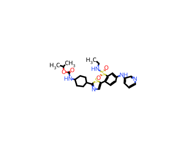 CCNS(=O)(=O)c1cc(Nc2cccnc2)ccc1-c1cnc(C2CCC(NC(=O)OC(C)C)CC2)s1